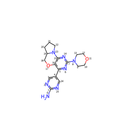 Nc1ncc(-c2nc(N3CCOCC3)nc3c2OCC2CCCN32)cn1